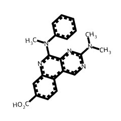 CN(C)c1ncc2c(n1)c(N(C)c1ccccc1)nc1cc(C(=O)O)ccc12